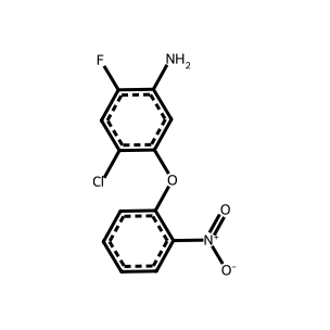 Nc1cc(Oc2ccccc2[N+](=O)[O-])c(Cl)cc1F